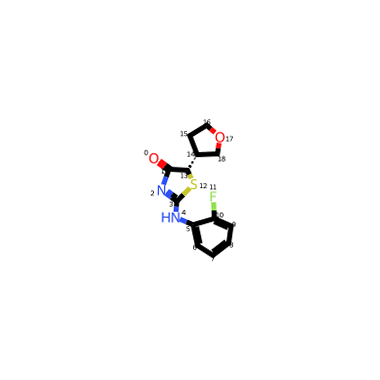 O=C1N=C(Nc2ccccc2F)SC1[C@@H]1CCOC1